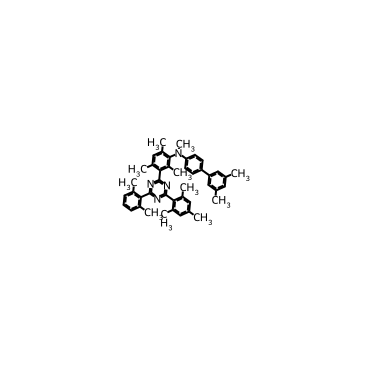 Cc1cc(C)cc(-c2ccc(N(C)c3c(C)cc(C)c(-c4nc(-c5c(C)cccc5C)nc(-c5c(C)cc(C)cc5C)n4)c3C)cc2)c1